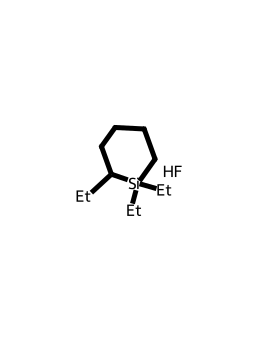 CCC1CCCC[Si]1(CC)CC.F